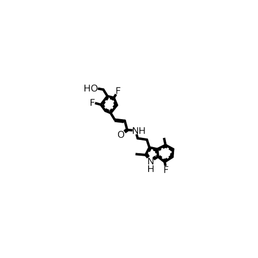 Cc1[nH]c2c(F)ccc(C)c2c1CCNC(=O)C=Cc1cc(F)c(CO)c(F)c1